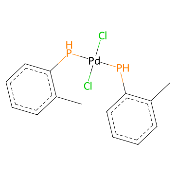 Cc1ccccc1[PH][Pd]([Cl])([Cl])[PH]c1ccccc1C